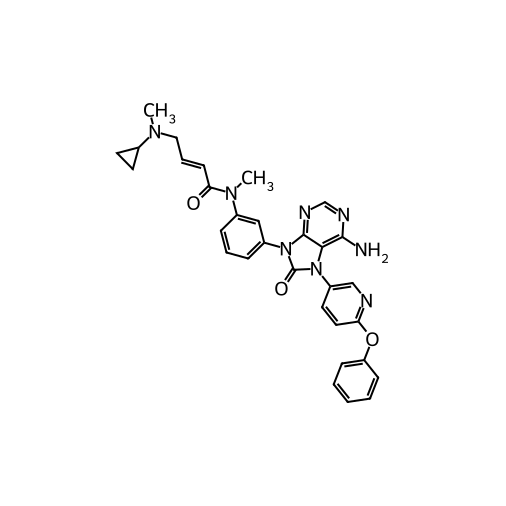 CN(C(=O)C=CCN(C)C1CC1)c1cccc(-n2c(=O)n(-c3ccc(Oc4ccccc4)nc3)c3c(N)ncnc32)c1